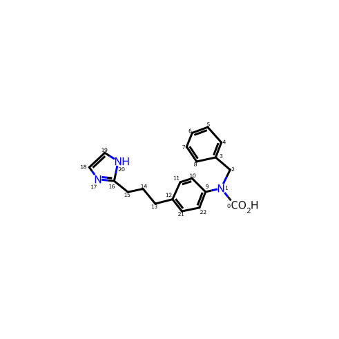 O=C(O)N(Cc1ccccc1)c1ccc(CCCc2ncc[nH]2)cc1